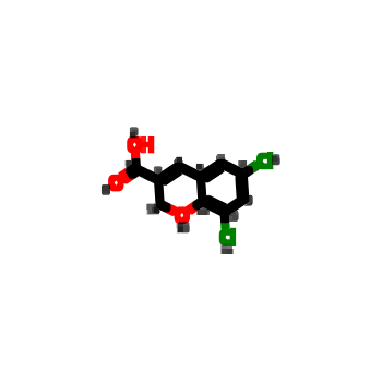 O=C(O)C1=Cc2cc(Cl)cc(Cl)c2OC1